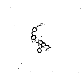 C[C@@H](O)Cc1cc2cnc(Nc3ccc(CN4CCN(CCO)CC4)cn3)nc2c(N2CCCCC2)n1